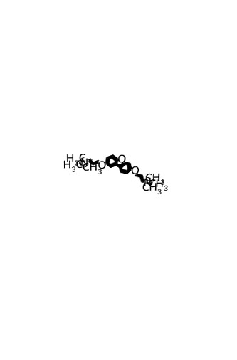 C[N+](C)(C)CCCOc1ccc2c(c1)oc1ccc(OCCC[N+](C)(C)C)cc12